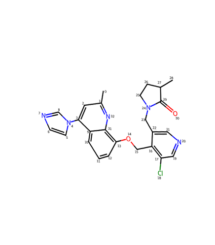 Cc1cc(-n2ccnc2)c2cccc(OCc3c(Cl)cncc3CN3CCC(C)C3=O)c2n1